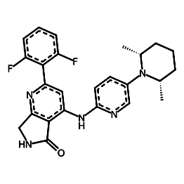 C[C@@H]1CCC[C@H](C)N1c1ccc(Nc2cc(-c3c(F)cccc3F)nc3c2C(=O)NC3)nc1